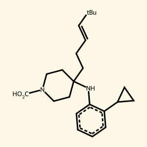 CC(C)(C)C=CCCC1(Nc2ccccc2C2CC2)CCN(C(=O)O)CC1